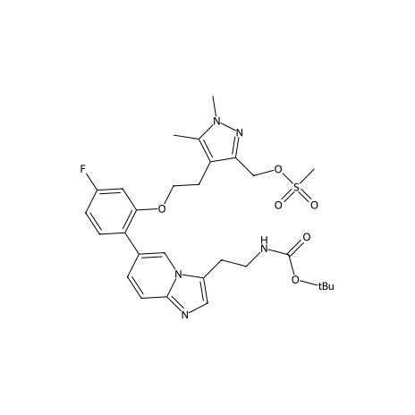 Cc1c(CCOc2cc(F)ccc2-c2ccc3ncc(CCNC(=O)OC(C)(C)C)n3c2)c(COS(C)(=O)=O)nn1C